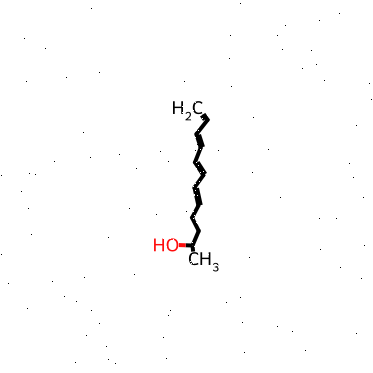 C=CC=CC=CC=CCCC(C)O